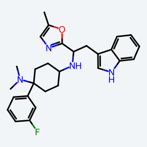 Cc1cnc(C(Cc2c[nH]c3ccccc23)NC2CCC(c3cccc(F)c3)(N(C)C)CC2)o1